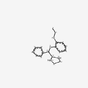 CCOc1ccccc1OC(c1ccccc1)C1NCCN1